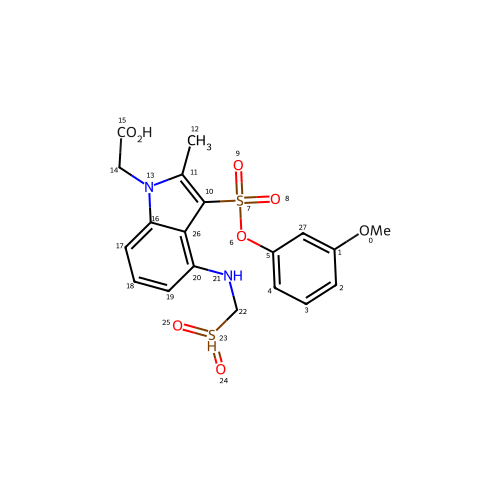 COc1cccc(OS(=O)(=O)c2c(C)n(CC(=O)O)c3cccc(NC[SH](=O)=O)c23)c1